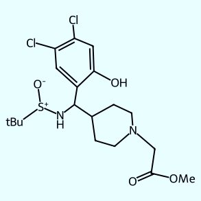 COC(=O)CN1CCC(C(N[S+]([O-])C(C)(C)C)c2cc(Cl)c(Cl)cc2O)CC1